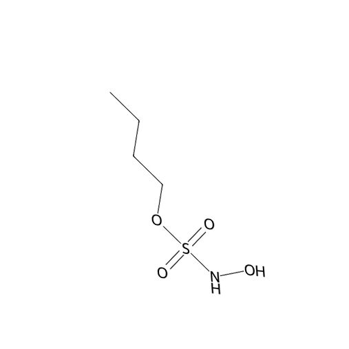 CCCCOS(=O)(=O)NO